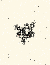 CC(C)(C)c1ccc(-c2cc3c4cc2C2(C)CCC(C)(C)c5cc6c(cc52)B2c5cc(ccc5N(c5ccc(C(C)(C)C)cc5-c5ccccc5)c5cc(C(C)(C)C)cc(c52)N6c2ccc(C(C)(C)C)cc2-c2ccccc2)N4C2(C)CCCCC32C)cc1